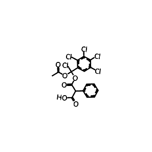 CC(=O)OC(Cl)(OC(=O)C(C(=O)O)c1ccccc1)c1cc(Cl)c(Cl)c(Cl)c1Cl